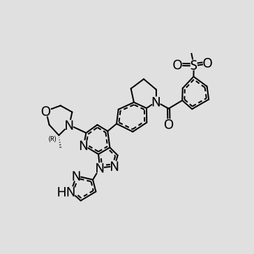 C[C@@H]1COCCN1c1cc(-c2ccc3c(c2)CCCN3C(=O)c2cccc(S(C)(=O)=O)c2)c2cnn(-c3cc[nH]n3)c2n1